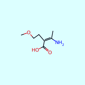 COCC/C(C(=O)O)=C(\C)N